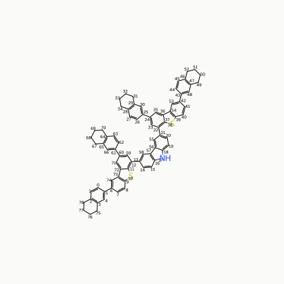 c1cc2c(cc1-c1ccc3sc4c(-c5ccc6[nH]c7ccc(-c8cc(-c9ccc%10c(c9)CCCC%10)cc9c8sc8ccc(-c%10ccc%11c(c%10)CCCC%11)cc89)cc7c6c5)cc(-c5ccc6c(c5)CCCC6)cc4c3c1)CCCC2